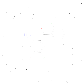 COc1cc(N)c(C(=O)c2ccccc2Cl)cc1Cl